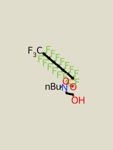 CCCCN(CCO)S(=O)(=O)C(F)(F)C(F)(F)C(F)(F)C(F)(F)C(F)(F)C(F)(F)C(F)(F)C(F)(F)F